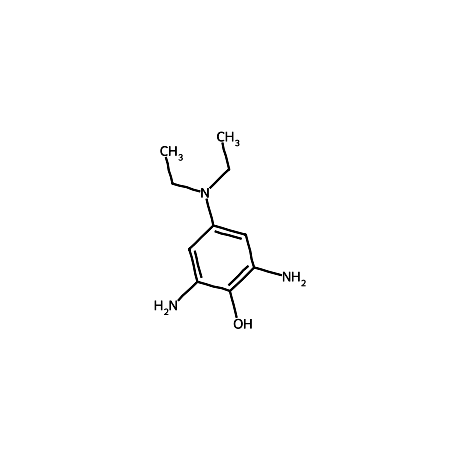 CCN(CC)c1cc(N)c(O)c(N)c1